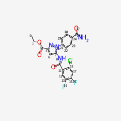 CCOC(=O)c1cc(NC(=O)c2cc(F)c(F)cc2Cl)n(-c2ccc(C(N)=O)cc2)n1